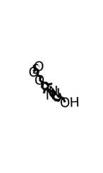 Cc1cc(OCCCS(C)(=O)=O)cc(C)c1-c1nc2ccc(CO)cn2n1